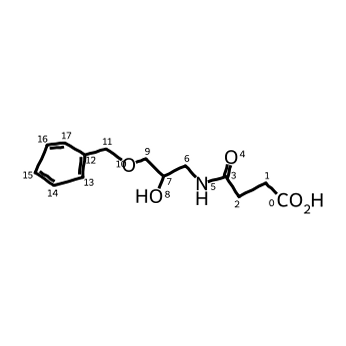 O=C(O)CCC(=O)NCC(O)COCc1ccccc1